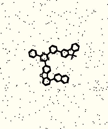 CC1(C)c2ccccc2-c2cc(-c3cccc(-c4nc(-c5ccccc5)nc(-c5ccc6c(c5)oc5cccc(-c7ccc8ccccc8c7)c56)n4)c3)ccc21